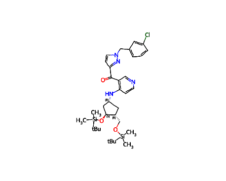 CC(C)(C)[Si](C)(C)OC[C@H]1C[C@@H](Nc2ccncc2C(=O)c2ccn(Cc3cccc(Cl)c3)n2)C[C@@H]1O[Si](C)(C)C(C)(C)C